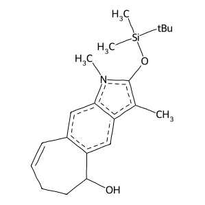 Cc1c(O[Si](C)(C)C(C)(C)C)n(C)c2cc3c(cc12)C(O)CCC=C3